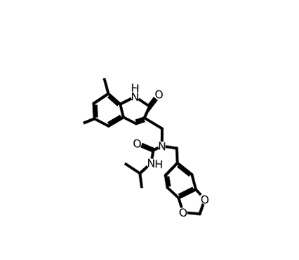 Cc1cc(C)c2[nH]c(=O)c(CN(Cc3ccc4c(c3)OCO4)C(=O)NC(C)C)cc2c1